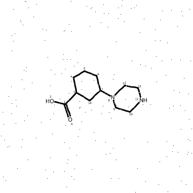 O=C(O)C1CCCC(N2CCNCC2)C1